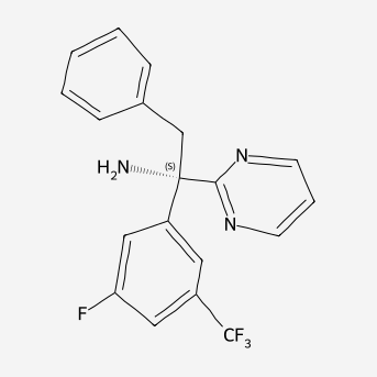 N[C@@](Cc1ccccc1)(c1cc(F)cc(C(F)(F)F)c1)c1ncccn1